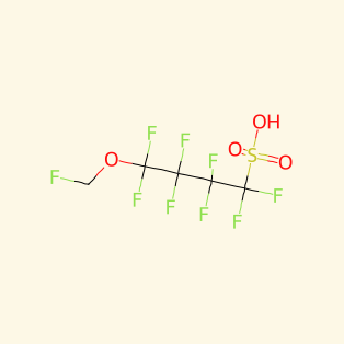 O=S(=O)(O)C(F)(F)C(F)(F)C(F)(F)C(F)(F)OCF